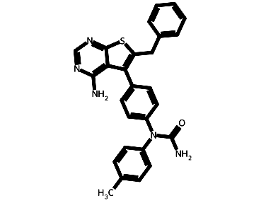 Cc1ccc(N(C(N)=O)c2ccc(-c3c(Cc4ccccc4)sc4ncnc(N)c34)cc2)cc1